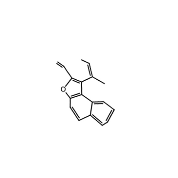 C=Cc1oc2ccc3ccccc3c2c1/C(C)=C\C